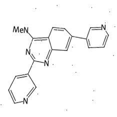 CNc1nc(-c2cccnc2)nc2cc(-c3cccnc3)ccc12